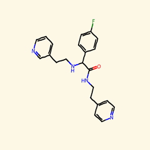 O=C(NCCc1ccncc1)C(NCCc1cccnc1)c1ccc(F)cc1